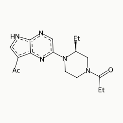 CCC(=O)N1CCN(c2cnc3[nH]cc(C(C)=O)c3n2)[C@@H](CC)C1